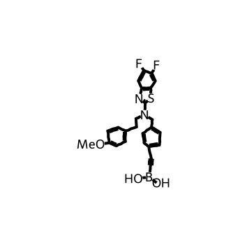 COc1ccc(CCN(Cc2ccc(C#CB(O)O)cc2)c2nc3cc(F)c(F)cc3s2)cc1